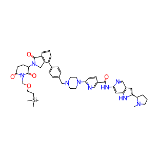 CN1CCC[C@@H]1c1cc2cnc(NC(=O)c3ccc(N4CCN(Cc5ccc(-c6cccc7c6CN(C6CCC(=O)N(COCC[Si](C)(C)C)C6=O)C7=O)cc5)CC4)nc3)cc2[nH]1